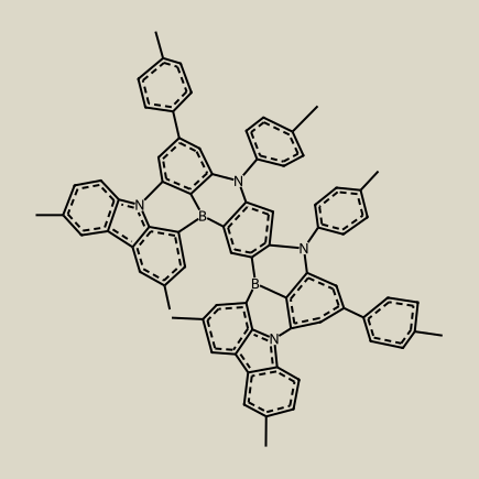 Cc1ccc(-c2cc3c4c(c2)-n2c5ccc(C)cc5c5cc(C)cc(c52)B4c2cc4c(cc2N3c2ccc(C)cc2)N(c2ccc(C)cc2)c2cc(-c3ccc(C)cc3)cc3c2B4c2cc(C)cc4c5cc(C)ccc5n-3c24)cc1